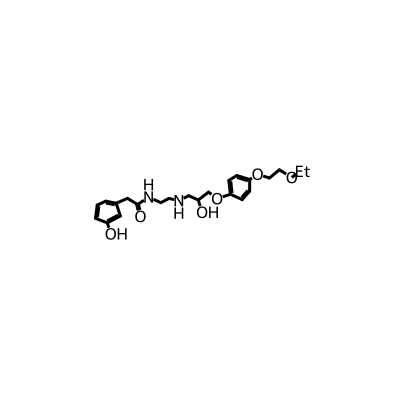 CCOCCOc1ccc(OCC(O)CNCCNC(=O)Cc2cccc(O)c2)cc1